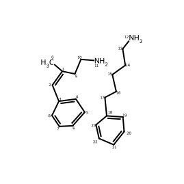 CC(=Cc1ccccc1)CCN.NCCCCCc1ccccc1